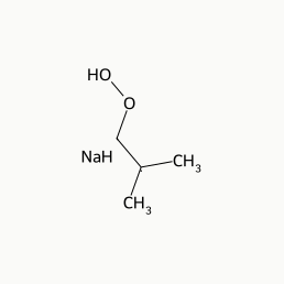 C[C](C)COO.[NaH]